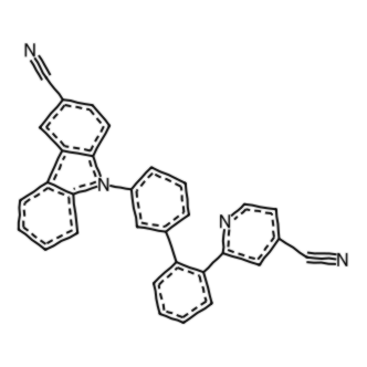 N#Cc1ccnc(-c2ccccc2-c2cccc(-n3c4ccccc4c4cc(C#N)ccc43)c2)c1